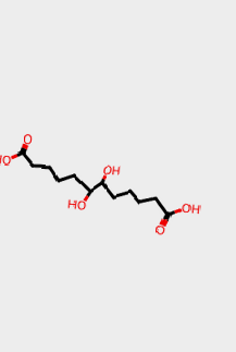 O=C(O)CCCCC(O)C(O)CCCCC(=O)O